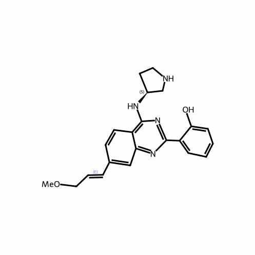 COC/C=C/c1ccc2c(N[C@H]3CCNC3)nc(-c3ccccc3O)nc2c1